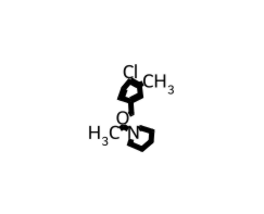 Cc1cc(COC(C)N2CCCCC2)ccc1Cl